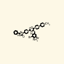 CN1CCC(N2CCN(C(=O)[C@@H](Cc3cc(Br)c(N)c(Br)c3)NC(=O)N3CCC(n4nc(-c5ccccc5)[nH]c4=O)CC3)CC2)CC1